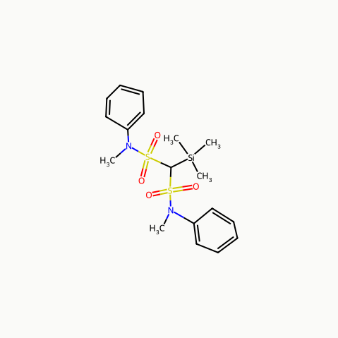 CN(c1ccccc1)S(=O)(=O)C([Si](C)(C)C)S(=O)(=O)N(C)c1ccccc1